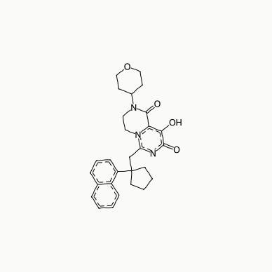 O=C1c2c(O)c(=O)nc(CC3(c4cccc5ccccc45)CCCC3)n2CCN1C1CCOCC1